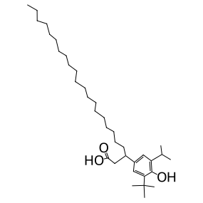 CCCCCCCCCCCCCCCCCCCCC(CC(=O)O)c1cc(C(C)C)c(O)c(C(C)(C)C)c1